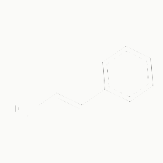 O=C(O)C=Cc1[c]cccc1